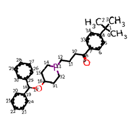 CC(C)(C)c1ccc(C(=O)CCCP2CCC(OC(c3ccccc3)c3ccccc3)CC2)cc1